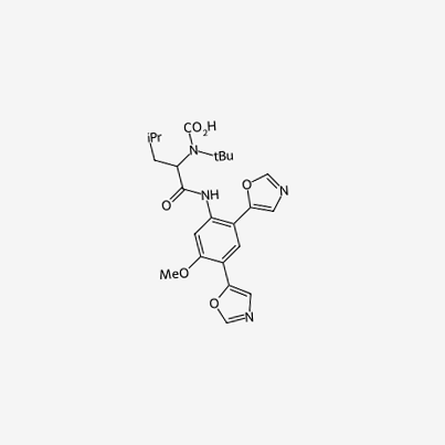 COc1cc(NC(=O)C(CC(C)C)N(C(=O)O)C(C)(C)C)c(-c2cnco2)cc1-c1cnco1